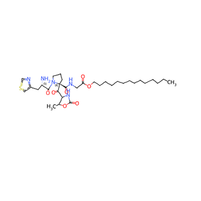 CCCCCCCCCCCCCCOC(=O)CNC(=O)[C@]1(C(=O)C2NC(=O)OC2C)CCCN1C(=O)[C@@H](N)Cc1cscn1